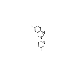 Cc1ccc(N2C=Nc3ccc(F)cc3C2)nc1